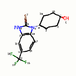 O[C@H]1CC[C@H](n2c(=S)[nH]c3cc(C(F)(F)F)ccc32)CC1